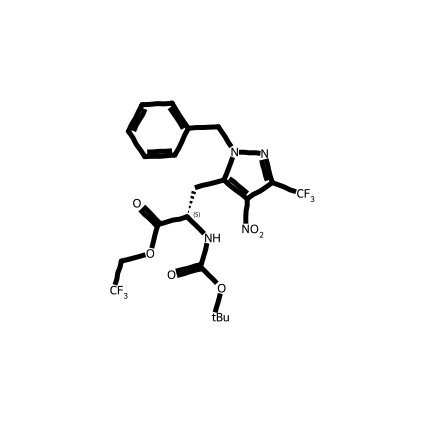 CC(C)(C)OC(=O)N[C@@H](Cc1c([N+](=O)[O-])c(C(F)(F)F)nn1Cc1ccccc1)C(=O)OCC(F)(F)F